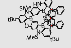 CSN1c2cc3c(cc2B2c4cc5c(cc4Oc4cc(C(C)(C)C)cc1c42)N(SC)c1cc(C(C)(C)C)cc2c1B5c1sc4ccccc4c1N2c1ccccc1)B1c2sc4ccccc4c2N(c2ccccc2)c2cc(C(C)(C)C)cc(c21)N3